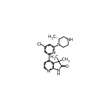 C[C@@H]1CNCCN1c1cc(Cl)cc(-c2ccnc3c2C(C)(C)C(=O)N3)n1